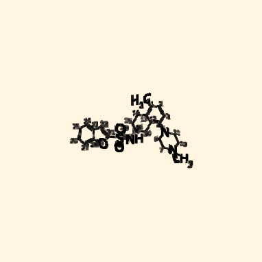 Cc1ccc(N2CCN(C)CC2)c2c1CC[C@@H](NS(=O)(=O)c1cc3ccccc3o1)C2